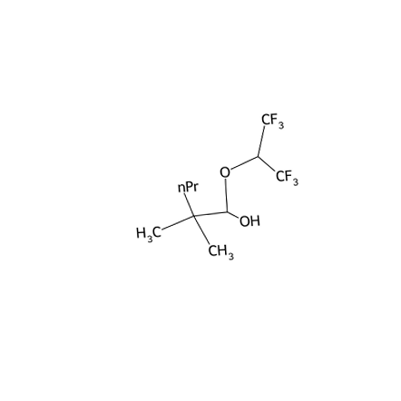 CCCC(C)(C)C(O)OC(C(F)(F)F)C(F)(F)F